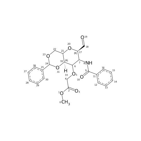 COC(=O)COC1C(NC(=O)c2ccccc2)[C@H](C=O)OC2COC(c3ccccc3)O[C@@H]21